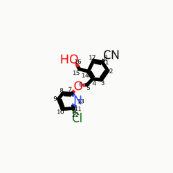 N#Cc1ccc(COc2cccc(Cl)n2)c(CO)c1